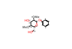 CO[C@H]1[C@H](Oc2ccccc2)O[C@H](CO)[C@@H](OC)[C@@H]1O